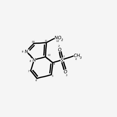 CS(=O)(=O)c1cccn2ncc([N+](=O)[O-])c12